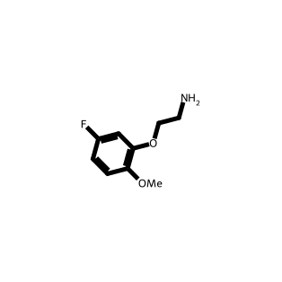 COc1ccc(F)cc1OCCN